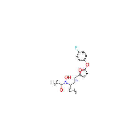 CC(=O)N(O)C(C)/C=C/c1ccc(Oc2ccc(F)cc2)o1